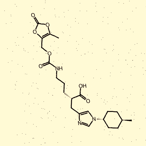 Cc1oc(=O)oc1COC(=O)NCCC[C@@H](Cc1cn([C@H]2CC[C@H](C)CC2)cn1)C(=O)O